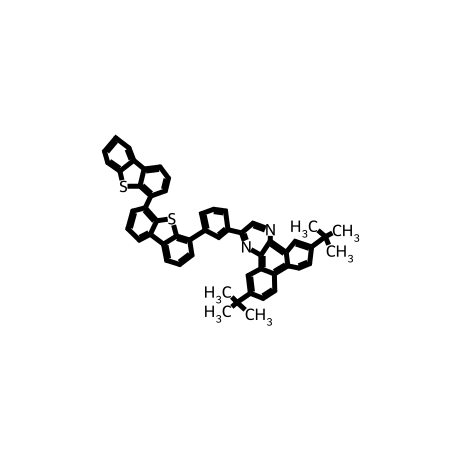 CC(C)(C)c1ccc2c3ccc(C(C)(C)C)cc3c3nc(-c4cccc(-c5cccc6c5sc5c(-c7cccc8c7sc7ccccc78)cccc56)c4)cnc3c2c1